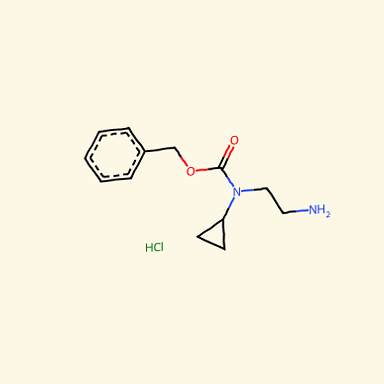 Cl.NCCN(C(=O)OCc1ccccc1)C1CC1